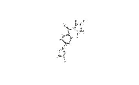 Cc1cn(-c2ccc(C(=O)c3[nH]c(=O)[nH]c3C)cc2)cn1